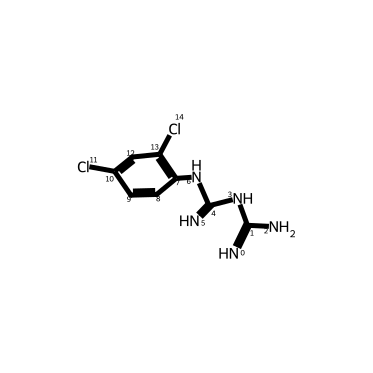 N=C(N)NC(=N)Nc1ccc(Cl)cc1Cl